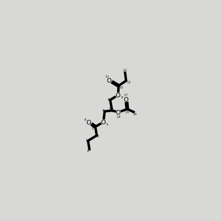 CCCC(=O)OCC(COC(=O)CC)OC(C)=O